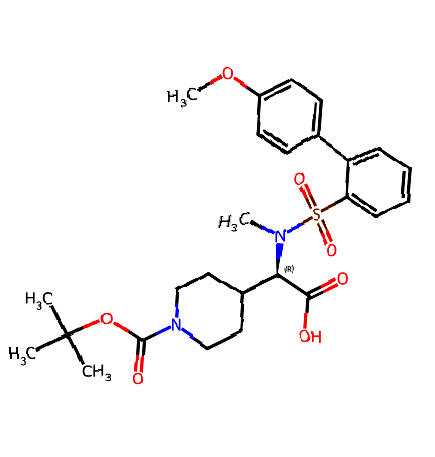 COc1ccc(-c2ccccc2S(=O)(=O)N(C)[C@@H](C(=O)O)C2CCN(C(=O)OC(C)(C)C)CC2)cc1